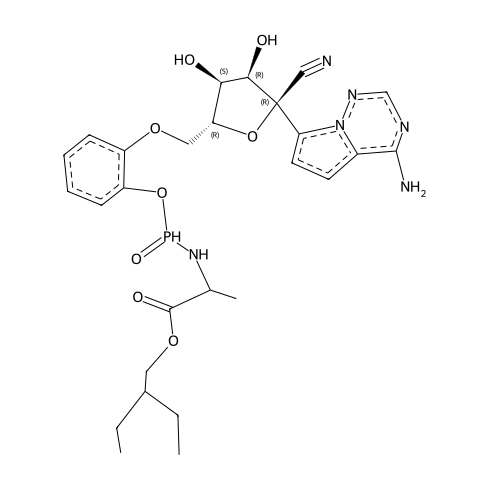 CCC(CC)COC(=O)C(C)N[PH](=O)Oc1ccccc1OC[C@H]1O[C@@](C#N)(c2ccc3c(N)ncnn23)[C@H](O)[C@@H]1O